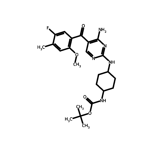 COc1cc(C)c(F)cc1C(=O)c1cnc(NC2CCC(NC(=O)OC(C)(C)C)CC2)nc1N